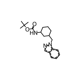 CC(C)(C)OC(=O)NC1CCCC(Cn2ncc3ccccc32)C1